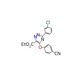 CCOC(=O)c1nnc(-c2cccc(Cl)c2)nc1Oc1ccc(C#N)cc1